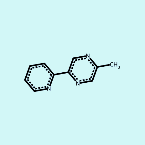 Cc1cnc(-c2ccccn2)cn1